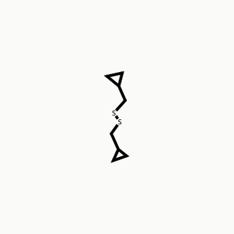 C1CC1CSSCC1CC1